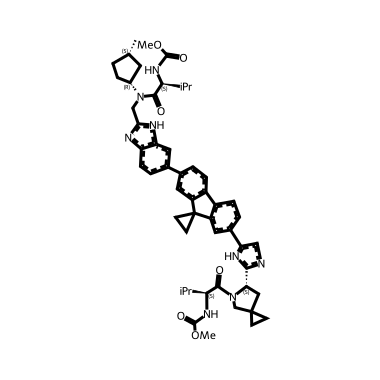 COC(=O)N[C@H](C(=O)N(Cc1nc2ccc(-c3ccc4c(c3)C3(CC3)c3cc(-c5cnc([C@@H]6CC7(CC7)CN6C(=O)[C@@H](NC(=O)OC)C(C)C)[nH]5)ccc3-4)cc2[nH]1)[C@@H]1CC[C@H](C)C1)C(C)C